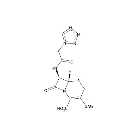 CSC1=C(C(=O)O)N2C(=O)[C@@H](NC(=O)Cn3cnnn3)[C@@H]2SC1